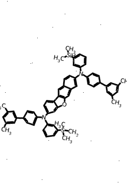 Cc1cc(C)cc(-c2ccc(N(c3cccc([SiH](C)C)c3)c3ccc4cc5c(cc4c3)oc3cc(N(c4ccc(-c6cc(C)cc(C)c6)cc4)c4cccc(S(C)(C)C)c4)ccc35)cc2)c1